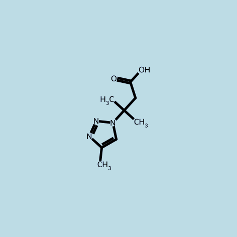 Cc1cn(C(C)(C)CC(=O)O)nn1